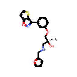 C[C@](O)(CNCc1ccco1)COc1cccc(-c2noc3ccsc23)c1